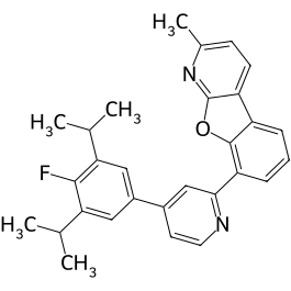 Cc1ccc2c(n1)oc1c(-c3cc(-c4cc(C(C)C)c(F)c(C(C)C)c4)ccn3)cccc12